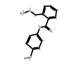 CC(=O)Nc1ccc(OC(=O)c2ccccc2CO[N+](=O)[O-])cc1